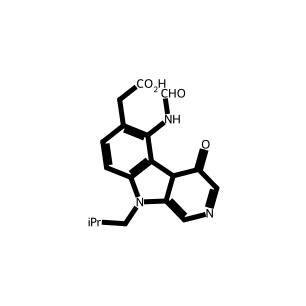 CC(C)CN1C2=CN=CC(=O)C2c2c1ccc(CC(=O)O)c2NC=O